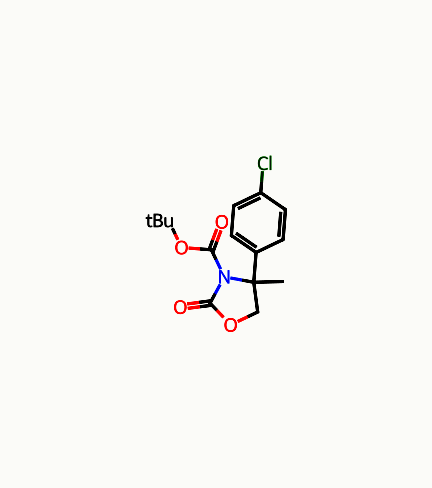 CC(C)(C)OC(=O)N1C(=O)OCC1(C)c1ccc(Cl)cc1